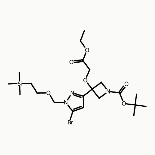 CCOC(=O)COC1(c2cc(Br)n(COCC[Si](C)(C)C)n2)CN(C(=O)OC(C)(C)C)C1